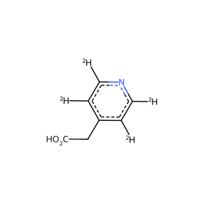 [2H]c1nc([2H])c([2H])c(CC(=O)O)c1[2H]